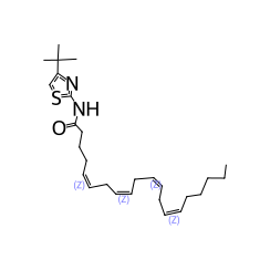 CCCCC/C=C\C/C=C\C/C=C\C/C=C\CCCC(=O)Nc1nc(C(C)(C)C)cs1